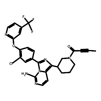 CC#CC(=O)N1CCCC(c2nc(-c3ccc(Oc4cc(C(F)(F)F)ccn4)c(Cl)c3)n3c(N)nccc23)C1